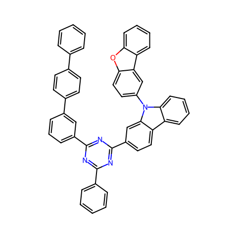 c1ccc(-c2ccc(-c3cccc(-c4nc(-c5ccccc5)nc(-c5ccc6c7ccccc7n(-c7ccc8oc9ccccc9c8c7)c6c5)n4)c3)cc2)cc1